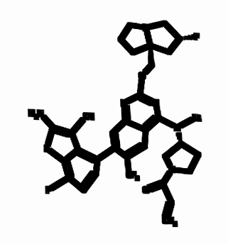 C=CC(=O)N1CC[C@@H](N(CC)c2nc(OC[C@@]34CCCN3C[C@H](F)C4)nc3cc(-c4ccc(F)c5sc(N)c(C#N)c45)c(C(F)(F)F)cc23)C1